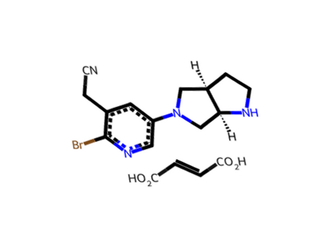 N#CCc1cc(N2C[C@H]3CCN[C@H]3C2)cnc1Br.O=C(O)/C=C/C(=O)O